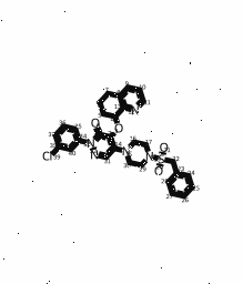 O=c1c(OC2CCCc3cccnc32)c(N2CCN(S(=O)(=O)Cc3ccccc3)CC2)cnn1-c1cccc(Cl)c1